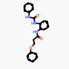 O=C(CCOc1ccccc1)Nc1ccccc1NC(=O)Nc1ccccc1